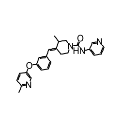 Cc1ccc(Oc2cccc(C=C3CCN(C(=O)Nc4cccnc4)CC3C)c2)cn1